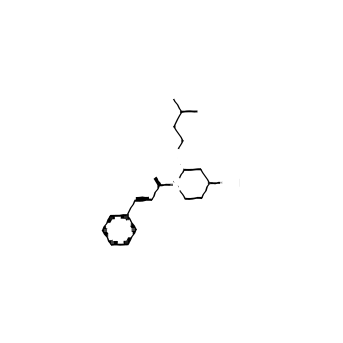 CC(C)CCS[C@@H]1CC(O)CCN1C(=O)C=Cc1ccccc1